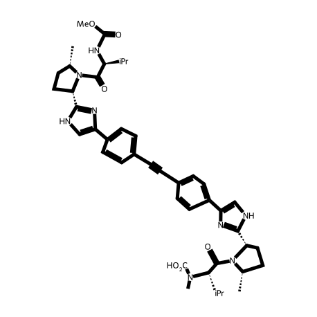 COC(=O)N[C@H](C(=O)N1[C@@H](C)CC[C@H]1c1nc(-c2ccc(C#Cc3ccc(-c4c[nH]c([C@@H]5CC[C@H](C)N5C(=O)[C@H](C(C)C)N(C)C(=O)O)n4)cc3)cc2)c[nH]1)C(C)C